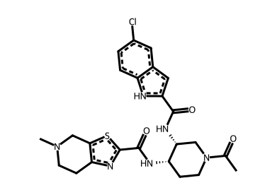 CC(=O)N1CC[C@H](NC(=O)c2nc3c(s2)CN(C)CC3)[C@H](NC(=O)c2cc3cc(Cl)ccc3[nH]2)C1